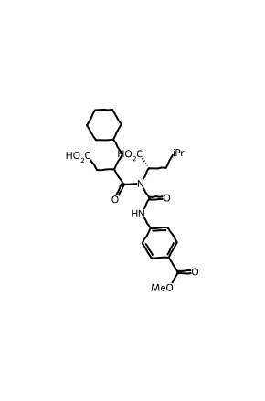 COC(=O)c1ccc(NC(=O)N(C(=O)C(CC(=O)O)CC2CCCCC2)[C@@H](CC(C)C)C(=O)O)cc1